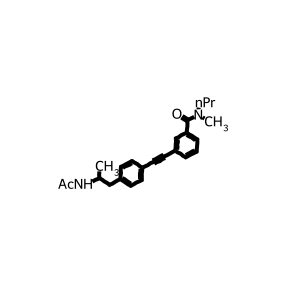 CCCN(C)C(=O)c1cccc(C#Cc2ccc(CC(C)NC(C)=O)cc2)c1